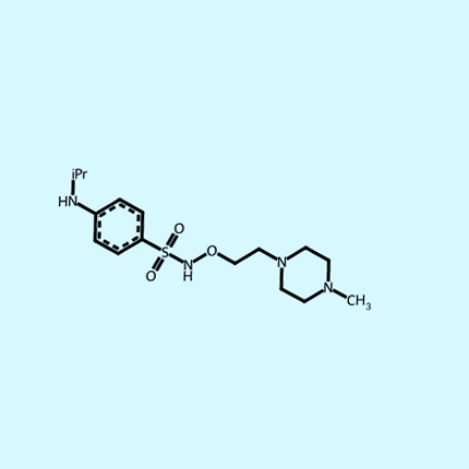 CC(C)Nc1ccc(S(=O)(=O)NOCCN2CCN(C)CC2)cc1